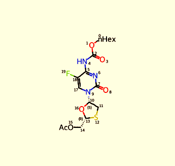 CCCCCCOC(=O)Nc1nc(=O)n([C@@H]2CS[C@H](COC(C)=O)O2)cc1F